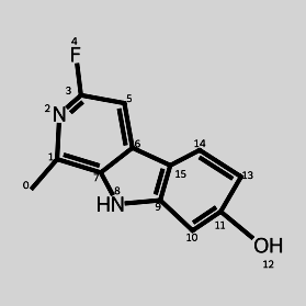 Cc1nc(F)cc2c1[nH]c1cc(O)ccc12